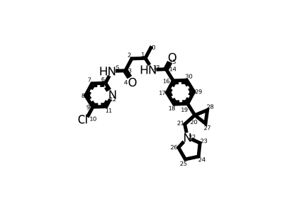 CC(CC(=O)Nc1ccc(Cl)cn1)NC(=O)c1ccc(C2(CN3CCCC3)CC2)cc1